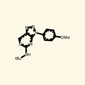 COc1ccc(-n2nnc3cnc(NC(C)(C)C)nc32)cc1